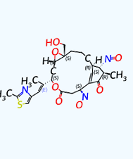 C/C(=C\c1csc(C)n1)[C@@H]1C[C@@H]2O[C@]2(CO)CCC[C@@H]2C=C(C(=O)[C@H](C)[C@H]2N=O)[C@@H](N=O)CC(=O)O1